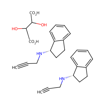 C#CCN[C@H]1CCc2ccccc21.C#CCN[C@H]1CCc2ccccc21.O=C(O)C(O)C(O)C(=O)O